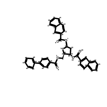 O=C(OC[C@H]1SC(OC(=O)c2ccc3ccccc3c2)C[C@H]1OC(=O)c1ccc2ccccc2c1)c1ccc(-c2ccccc2)cc1